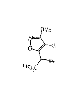 COc1noc(C(C(=O)O)C(C)C)c1Cl